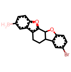 Bc1ccc2oc3c(c2c1)CCC1c2cc(Br)ccc2OC31